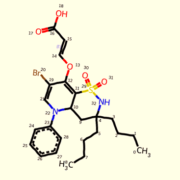 CCCCC1(CCCC)CC2C(=C(O/C=C/C(=O)O)C(Br)=CN2c2ccccc2)S(=O)(=O)N1